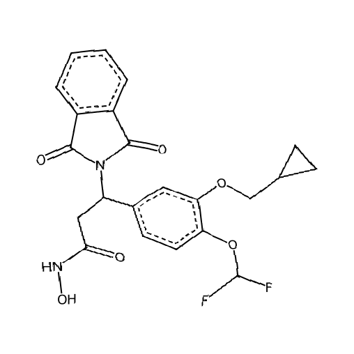 O=C(CC(c1ccc(OC(F)F)c(OCC2CC2)c1)N1C(=O)c2ccccc2C1=O)NO